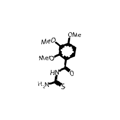 COc1ccc(C(=O)NC(N)=S)c(OC)c1OC